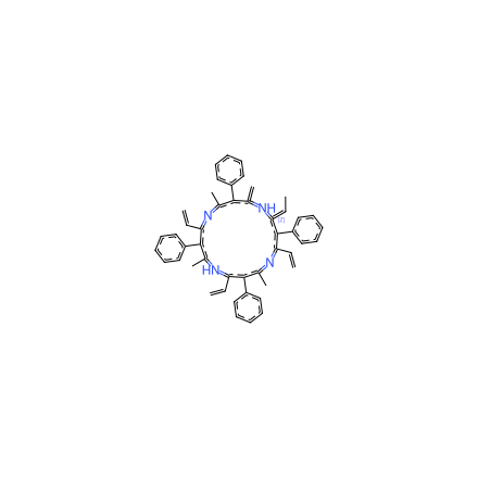 C=Cc1nc(C)c(-c2ccccc2)c(=C)[nH]/c(=C\C)c(-c2ccccc2)c(C=C)nc(C)c(-c2ccccc2)c(C=C)[nH]c(C)c1-c1ccccc1